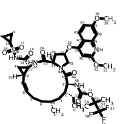 CC[C@@H]1C[C@H](C)CC/C=C\[C@@H]2C[C@@]2(C(=O)NS(=O)(=O)C2CC2)NC(=O)[C@@H]2C[C@@H](Oc3cc(OC)nc4cc(OC)ccc34)CN2C(=O)[C@H]1NC(=O)OC(C)(C)C(F)(F)F